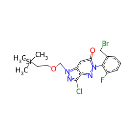 C[Si](C)(C)CCOCn1nc(Cl)c2nn(-c3c(F)cccc3CBr)c(=O)cc21